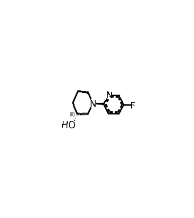 O[C@@H]1CCCN(c2ccc(F)cn2)C1